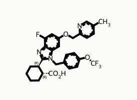 Cc1ccc(COc2cc(F)c3nc([C@@H]4CCCC[C@H]4C(=O)O)n(Cc4ccc(OC(F)(F)F)cc4)c3c2)nc1